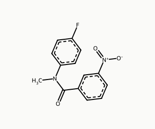 CN(C(=O)c1cccc([N+](=O)[O-])c1)c1ccc(F)cc1